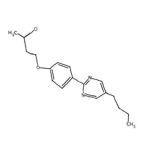 CCCCc1cnc(-c2ccc(OCCC(C)Cl)cc2)nc1